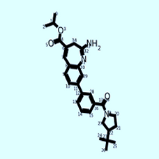 CC(C)OC(=O)C1=Cc2ccc(-c3cccc(C(=O)N4CCC(C(C)(C)C)C4)c3)cc2N=C(N)C1